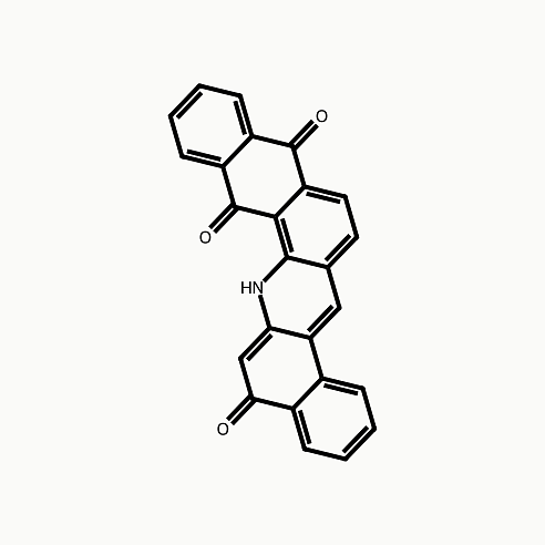 O=C1c2ccccc2C(=O)c2c1ccc1cc3c4ccccc4c(=O)cc-3[nH]c21